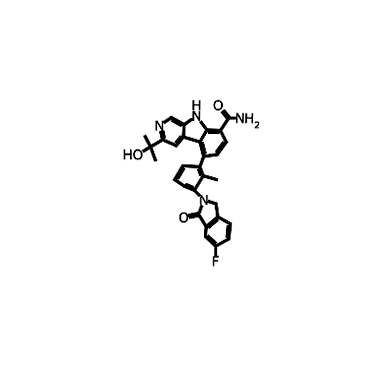 Cc1c(-c2ccc(C(N)=O)c3[nH]c4cnc(C(C)(C)O)cc4c23)cccc1N1Cc2ccc(F)cc2C1=O